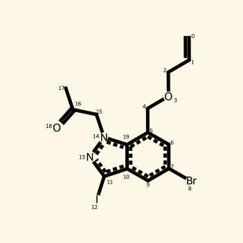 C=CCOCc1cc(Br)cc2c(I)nn(CC(C)=O)c12